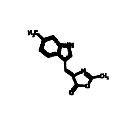 CC1=NC(=Cc2c[nH]c3cc(C)ccc23)C(=O)O1